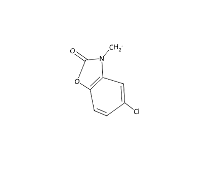 [CH2]n1c(=O)oc2ccc(Cl)cc21